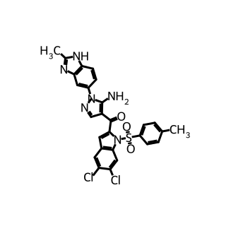 Cc1ccc(S(=O)(=O)n2c(C(=O)c3cnn(-c4ccc5[nH]c(C)nc5c4)c3N)cc3cc(Cl)c(Cl)cc32)cc1